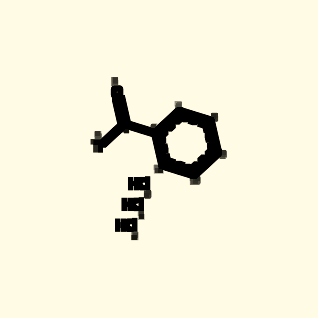 Cl.Cl.Cl.O=[C]([Ti])c1ccccc1